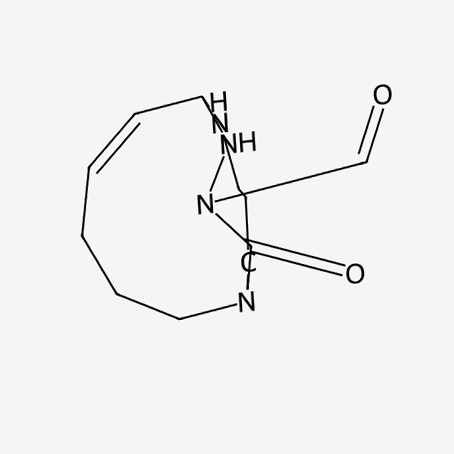 O=CN1NC2C=CCCCN(CCCN2)C1=O